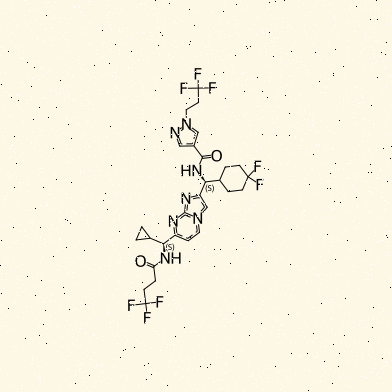 O=C(CCC(F)(F)F)N[C@H](c1ccn2cc([C@@H](NC(=O)c3cnn(CCC(F)(F)F)c3)C3CCC(F)(F)CC3)nc2n1)C1CC1